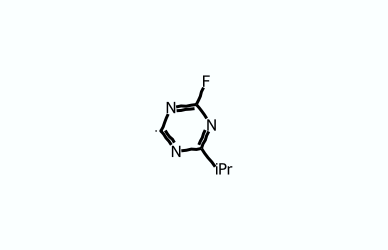 CC(C)c1n[c]nc(F)n1